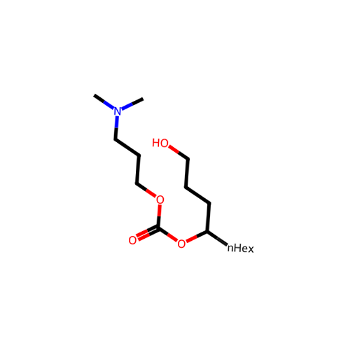 CCCCCCC(CCCO)OC(=O)OCCCN(C)C